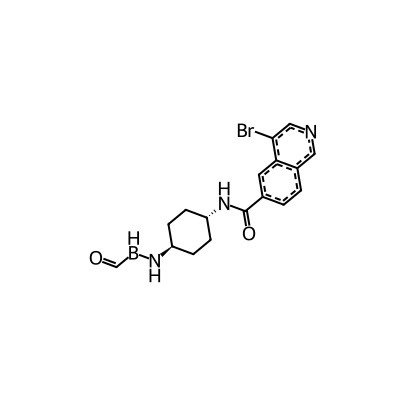 O=CBN[C@H]1CC[C@H](NC(=O)c2ccc3cncc(Br)c3c2)CC1